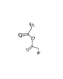 C[CH]C(=O)OC(=O)CBr